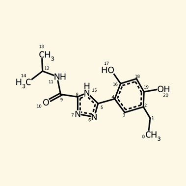 CCc1cc(-c2nnc(C(=O)NC(C)C)[nH]2)c(O)cc1O